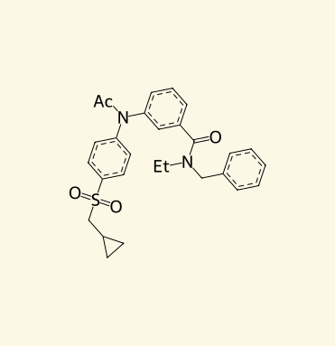 CCN(Cc1ccccc1)C(=O)c1cccc(N(C(C)=O)c2ccc(S(=O)(=O)CC3CC3)cc2)c1